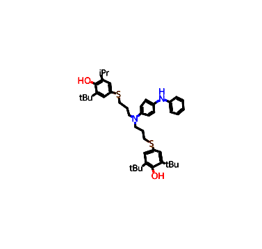 CC(C)c1cc(SCCCN(CCCSc2cc(C(C)(C)C)c(O)c(C(C)(C)C)c2)c2ccc(Nc3ccccc3)cc2)cc(C(C)(C)C)c1O